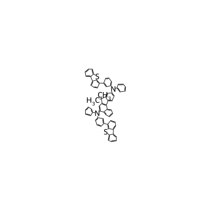 CC1(C)c2cc(N(c3ccccc3)c3cccc(-c4cccc5c4sc4ccccc45)c3)ccc2-c2c1cc(N(c1ccccc1)c1cccc(-c3cccc4c3sc3ccccc34)c1)c1ccccc21